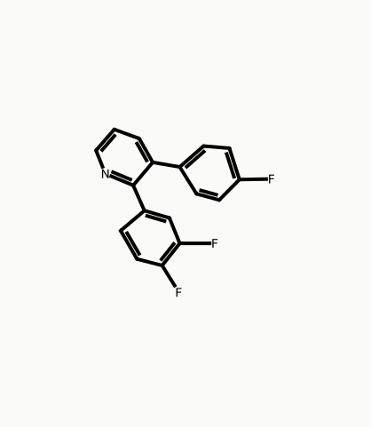 Fc1ccc(-c2cccnc2-c2ccc(F)c(F)c2)cc1